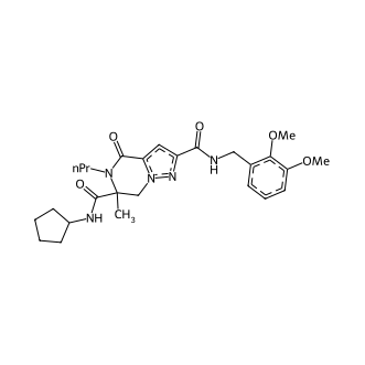 CCCN1C(=O)c2cc(C(=O)NCc3cccc(OC)c3OC)nn2CC1(C)C(=O)NC1CCCC1